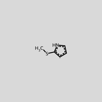 CSc1[c]cc[nH]1